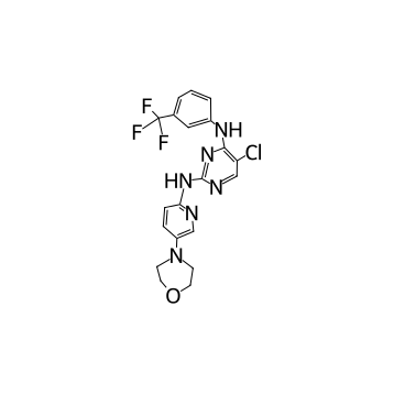 FC(F)(F)c1cccc(Nc2nc(Nc3ccc(N4CCOCC4)cn3)ncc2Cl)c1